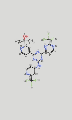 CC(C)(O)c1cc(-c2nc(Nc3ccnc(C(F)(F)F)c3)nc(-c3ccnc(C(F)(F)F)n3)n2)ccn1